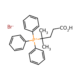 CC(C)(CCC(=O)O)[P+](c1ccccc1)(c1ccccc1)c1ccccc1.[Br-]